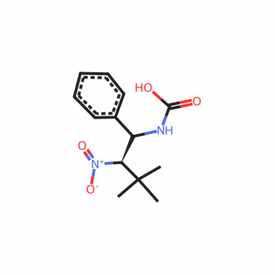 CC(C)(C)[C@H](C(NC(=O)O)c1ccccc1)[N+](=O)[O-]